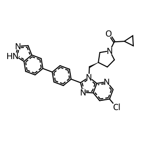 O=C(C1CC1)N1CC[C@@H](Cn2c(-c3ccc(-c4ccc5[nH]ncc5c4)cc3)nc3cc(Cl)cnc32)C1